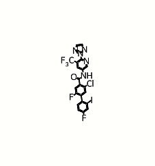 O=C(Nc1cnc(-n2nccn2)c(C(F)(F)F)c1)c1cc(F)c(-c2ccc(F)cc2I)cc1Cl